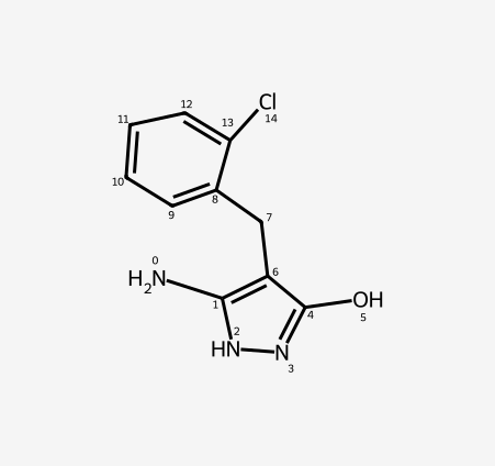 Nc1[nH]nc(O)c1Cc1ccccc1Cl